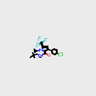 CN(CC(C)(C)C)C(=O)c1c(-c2ccc(Cl)cc2)cc(C(F)(F)F)n1C1CC1